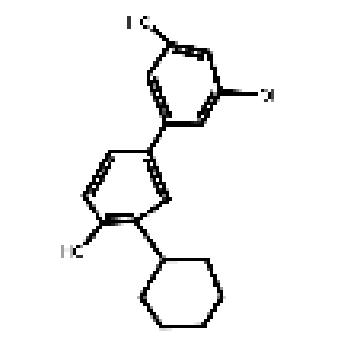 Oc1cc(O)cc(-c2ccc(O)c(C3CCCCC3)c2)c1